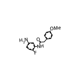 COc1ccc(CC(=O)Nc2cc(N)ccc2F)cc1